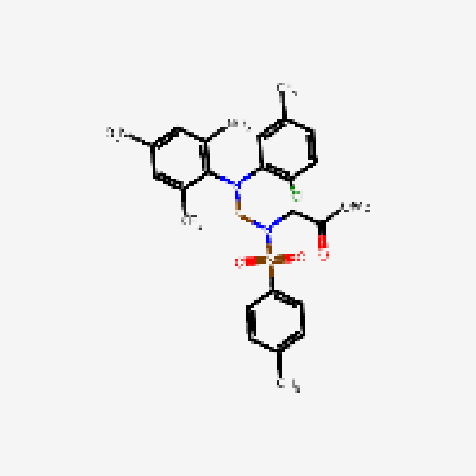 COC(=O)CN(SN(c1cc(C(F)(F)F)ccc1Cl)c1c([N+](=O)[O-])cc([N+](=O)[O-])cc1C(F)(F)F)S(=O)(=O)c1ccc(C)cc1